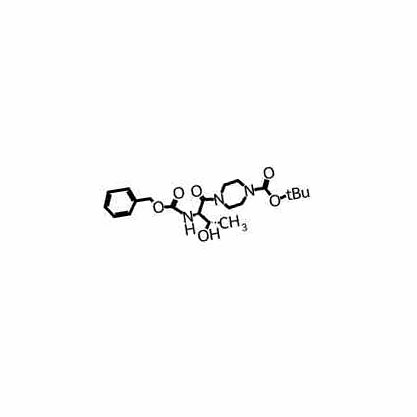 C[C@H](O)[C@@H](NC(=O)OCc1ccccc1)C(=O)N1CCN(C(=O)OC(C)(C)C)CC1